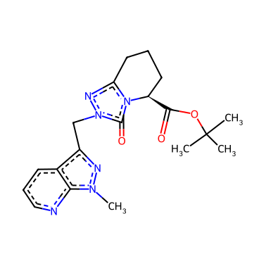 Cn1nc(Cn2nc3n(c2=O)[C@H](C(=O)OC(C)(C)C)CCC3)c2cccnc21